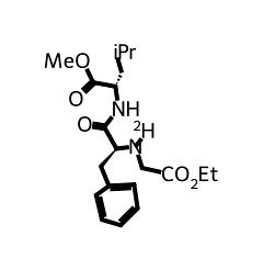 [2H]N(CC(=O)OCC)[C@@H](Cc1ccccc1)C(=O)N[C@@H](CC(C)C)C(=O)OC